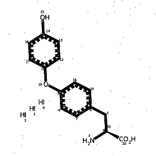 I.I.I.N[C@@H](Cc1ccc(Oc2ccc(O)cc2)cc1)C(=O)O